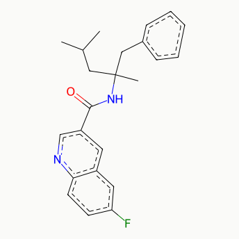 CC(C)CC(C)(Cc1ccccc1)NC(=O)c1cnc2ccc(F)cc2c1